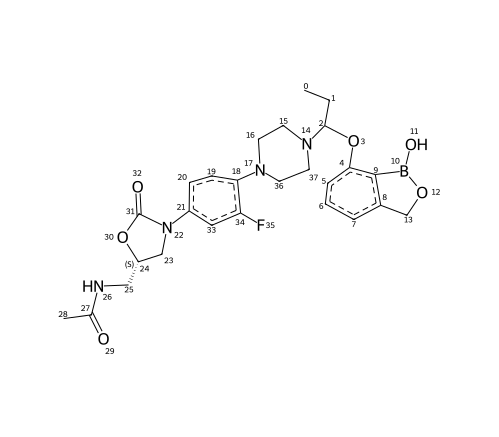 CCC(Oc1cccc2c1B(O)OC2)N1CCN(c2ccc(N3C[C@H](CNC(C)=O)OC3=O)cc2F)CC1